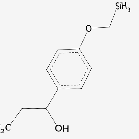 CCC(O)c1ccc(OC[SiH3])cc1